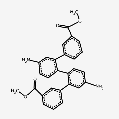 COC(=O)c1cccc(-c2cc(N)ccc2-c2ccc(N)cc2-c2cccc(C(=O)OC)c2)c1